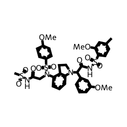 COc1ccc(S(=O)(=O)N(CC(=O)NS(C)(=O)=O)c2cccc3c2CCN3C(C(=O)NS(=O)(=O)c2ccc(C)cc2OC)c2cccc(OC)c2)cc1